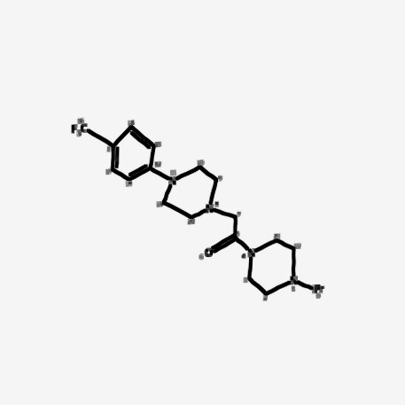 CC(C)N1CCN(C(=O)CN2CCN(c3ccc(C(F)(F)F)cc3)CC2)CC1